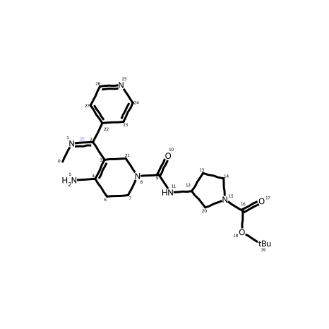 C/N=C(\C1=C(N)CCN(C(=O)NC2CCN(C(=O)OC(C)(C)C)C2)C1)c1ccncc1